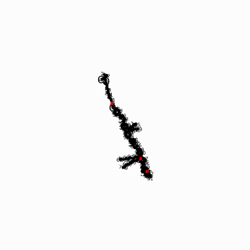 C=C(C)C(=O)OCCCCCCCCCCOc1ccc(-c2ccc(-c3ccc4c(c3)C(CCCC)(CCCC)c3cc(-c5cc6sc(-c7ccc8c(c7)C(CCCCCCCC)(CCCCCCCC)c7cc(-c9cc%10sc%11cc(C)sc%11c%10s9)ccc7-8)cc6s5)ccc3-4)s2)cc1